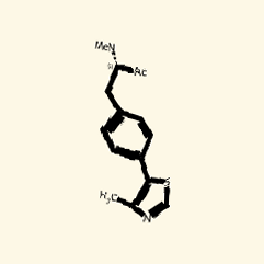 CN[C@@H](Cc1ccc(-c2scnc2C)cc1)C(C)=O